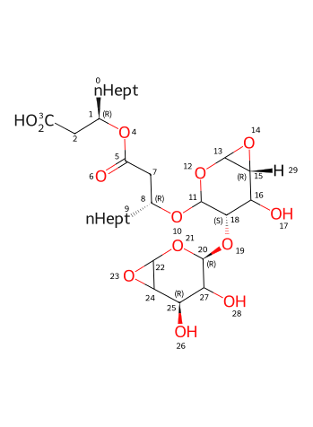 CCCCCCC[C@H](CC(=O)O)OC(=O)C[C@@H](CCCCCCC)OC1OC2O[C@@H]2C(O)[C@@H]1O[C@@H]1OC2OC2[C@H](O)C1O